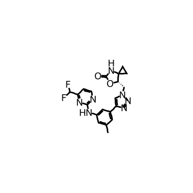 Cc1cc(Nc2nccc(C(F)F)n2)cc(-c2cn(C[C@@H]3OC(=O)NC34CC4)nn2)c1